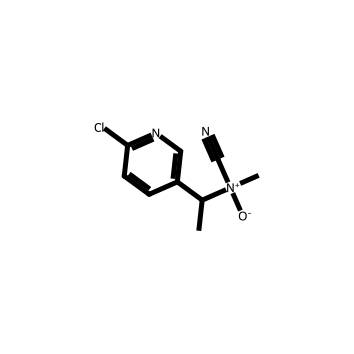 CC(c1ccc(Cl)nc1)[N+](C)([O-])C#N